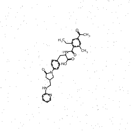 CCc1cc(C(C)=O)cc(C)c1C(=O)NC(Cc1ccc(N2CC(CNc3ccccn3)CC2=O)cc1)C(=O)O